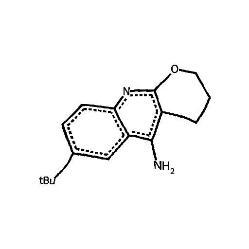 CC(C)(C)c1ccc2nc3c(c(N)c2c1)CCCO3